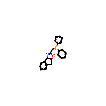 c1ccc(P(CC2=NC3c4ccccc4CC3O2)c2ccccc2)cc1